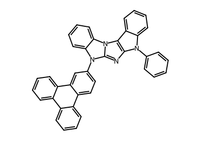 c1ccc(-n2c3ccccc3c3c2nc2n(-c4ccc5c6ccccc6c6ccccc6c5c4)c4ccccc4n32)cc1